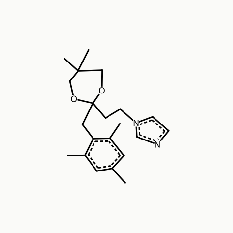 Cc1cc(C)c(CC2(CCn3ccnc3)OCC(C)(C)CO2)c(C)c1